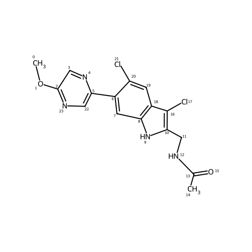 COc1cnc(-c2cc3[nH]c(CNC(C)=O)c(Cl)c3cc2Cl)cn1